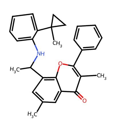 Cc1cc(C(C)Nc2ccccc2C2(C)CC2)c2oc(-c3ccccc3)c(C)c(=O)c2c1